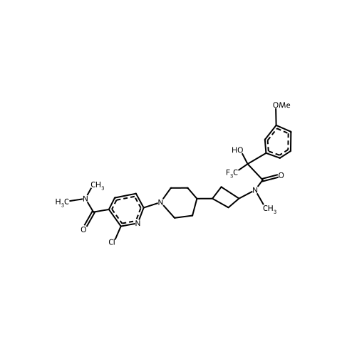 COc1cccc(C(O)(C(=O)N(C)C2CC(C3CCN(c4ccc(C(=O)N(C)C)c(Cl)n4)CC3)C2)C(F)(F)F)c1